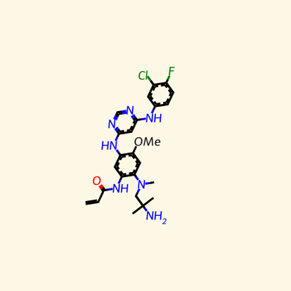 C=CC(=O)Nc1cc(Nc2cc(Nc3ccc(F)c(Cl)c3)ncn2)c(OC)cc1N(C)CC(C)(C)N